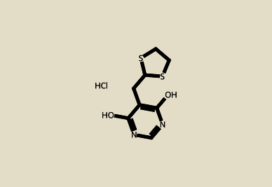 Cl.Oc1ncnc(O)c1CC1SCCS1